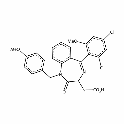 COc1ccc(CN2C(=O)C(NC(=O)O)N=C(c3c(Cl)cc(Cl)cc3OC)c3ccccc32)cc1